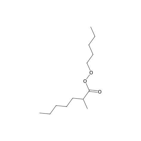 CCCCCOOC(=O)C(C)CCCCC